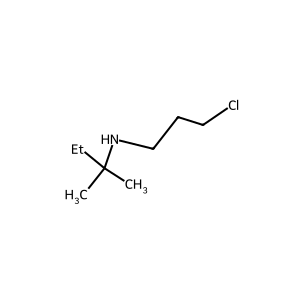 CCC(C)(C)NCCCCl